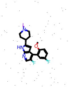 COc1ccc(F)cc1-c1c(F)cnc2[nH]c(C3CCN(I)CC3)cc12